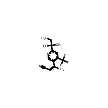 CCC(C)(C)c1cc(C(F)(F)F)c(/C(C)=C\C#N)cn1